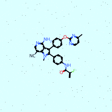 C=C(F)C(=O)Nc1ccc(-c2c(-c3ccc(Oc4nccc(C)n4)cc3)c3c(N)ncc(C#N)c3n2C)cc1